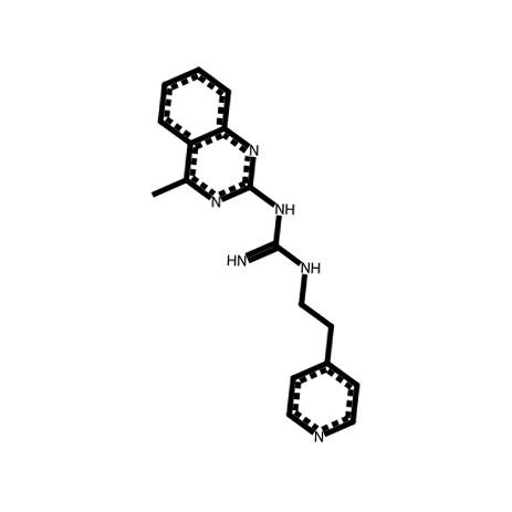 Cc1nc(NC(=N)NCCc2ccncc2)nc2ccccc12